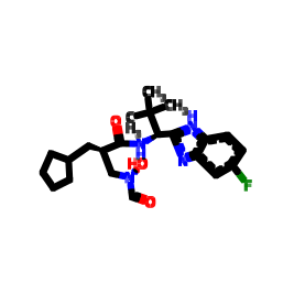 CC(C)(C)[C@H](NC(=O)[C@H](CC1CCCC1)CN(O)C=O)c1nc2cc(F)ccc2[nH]1